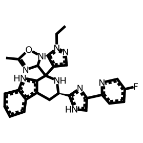 CCn1cc(C2(C3N=C(C)ON3)N[C@@H](c3nc(-c4ccc(F)cn4)c[nH]3)Cc3c2[nH]c2ccccc32)cn1